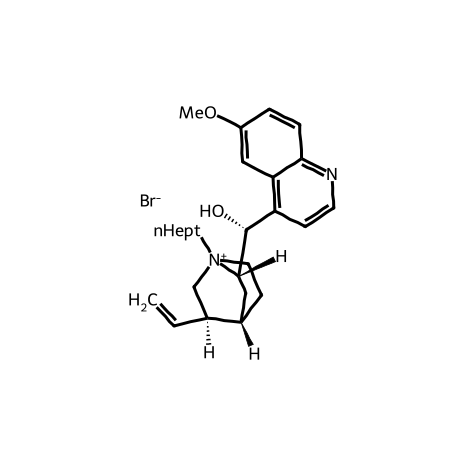 C=C[C@H]1C[N+]2(CCCCCCC)CC[C@H]1C[C@H]2[C@H](O)c1ccnc2ccc(OC)cc12.[Br-]